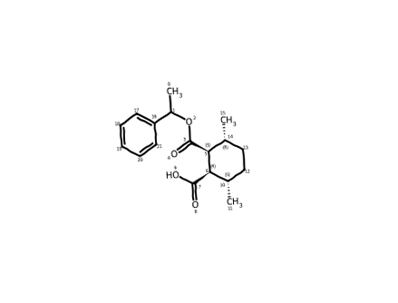 CC(OC(=O)[C@@H]1[C@H](C(=O)O)[C@@H](C)CC[C@H]1C)c1ccccc1